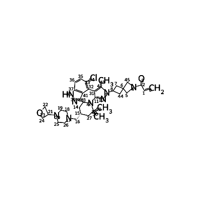 C=CC(=O)N1CC2(CC(n3nc(N4CC[C@@H](CN5CCN(C6COC6)CC5)CC4(C)C)c(-c4c(Cl)ccc5[nH]ncc45)c3C)C2)C1